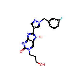 O=c1[nH]c2nc(-c3cnn(Cc4cccc(F)c4)c3)[n+]([O-])c-2cn1CCCO